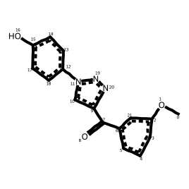 COc1cccc(C(=O)c2cn(-c3ccc(O)cc3)nn2)c1